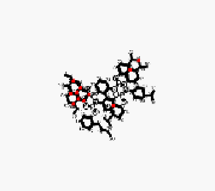 CCCCc1ccc(OP(Oc2ccccc2CCCC)Oc2cccc(OP(Oc3ccc(C(C)C)cc3)Oc3ccc(C(C)C)cc3)c2-c2c(OP(Oc3ccc(C(C)C)cc3)Oc3ccc(C(C)C)cc3)cccc2OP(Oc2ccccc2)Oc2ccc(I)cc2CCCC)cc1